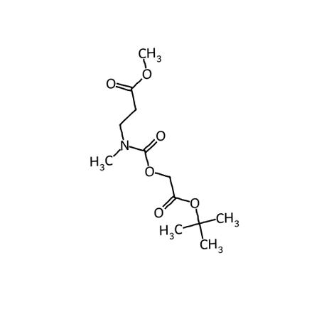 COC(=O)CCN(C)C(=O)OCC(=O)OC(C)(C)C